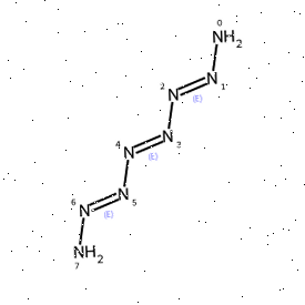 N/N=N/N=N/N=N/N